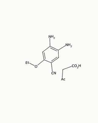 CC(=O)CC(=O)O.CCOc1cc(N)c(N)cc1C#N